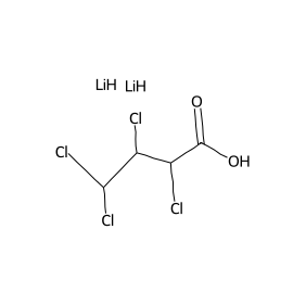 O=C(O)C(Cl)C(Cl)C(Cl)Cl.[LiH].[LiH]